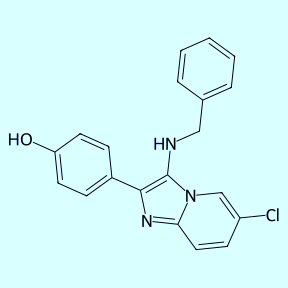 Oc1ccc(-c2nc3ccc(Cl)cn3c2NCc2ccccc2)cc1